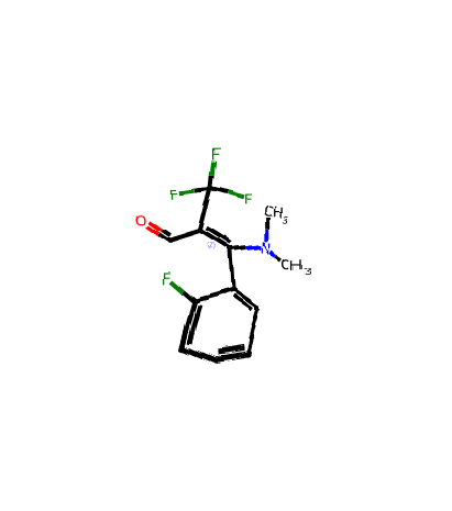 CN(C)/C(=C(/C=O)C(F)(F)F)c1ccccc1F